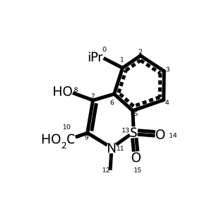 CC(C)c1cccc2c1C(O)=C(C(=O)O)N(C)S2(=O)=O